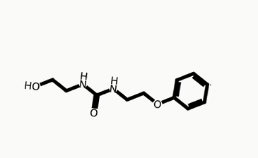 O=C(NCCO)NCCOc1cc[c]cc1